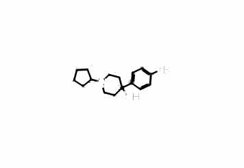 CC(C)(C)c1ccc(C2(C)CCN(C3CCCC3)CC2)cc1